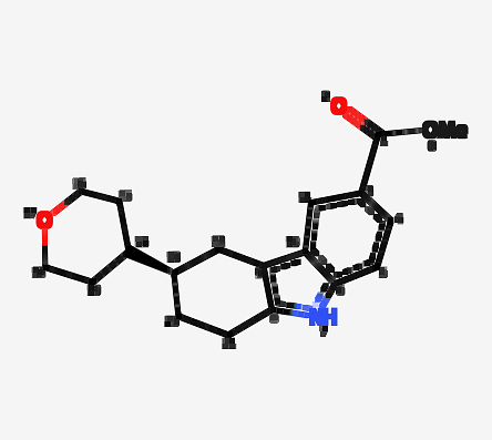 COC(=O)c1ccc2[nH]c3c(c2c1)C[C@H](C1CCOCC1)CC3